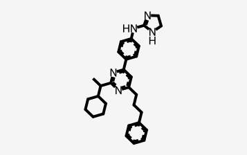 CC(c1nc(CCCc2ccccc2)cc(-c2ccc(NC3=NCCN3)cc2)n1)C1CCCCC1